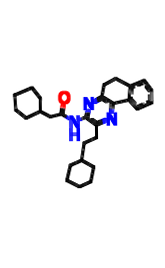 O=C(CC1CCCCC1)Nc1nc2c(nc1CCC1CCCCC1)-c1ccccc1CC2